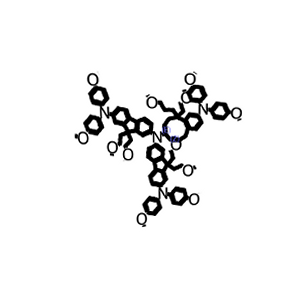 COCCCC1(CCOC)C/C=C(N(c2ccc3c(c2)C(CCOC)(CCOC)c2cc(N(c4ccc(OC)cc4)c4ccc(OC)cc4)ccc2-3)c2ccc3c(c2)C(CCOC)(CCOC)c2cc(N(c4ccc(OC)cc4)c4ccc(OC)cc4)ccc2-3)\C=C/Cc2ccc(N(c3ccc(OC)cc3)c3ccc(OC)cc3)cc21